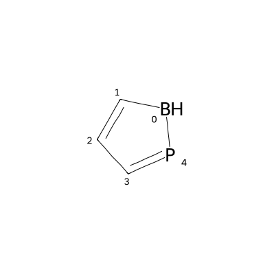 B1C=CC=P1